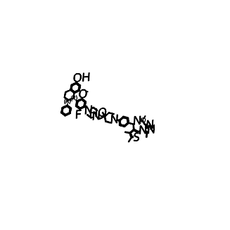 COc1cc(N2CCN(CC3(O)CCN(c4ccc(C5=N[C@@H](C)c6nnc(C)n6-c6sc(C)c(C)c65)cc4)CC3)CC2)c(F)cc1[C@H]1c2ccc(O)cc2CC[C@H]1c1ccccc1